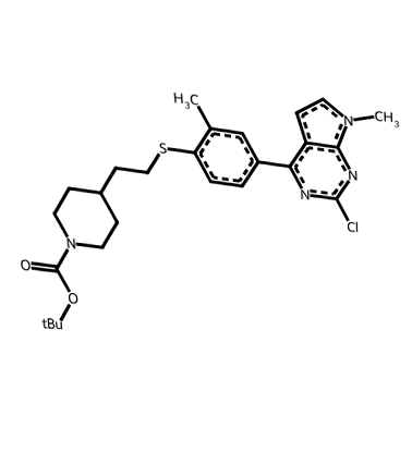 Cc1cc(-c2nc(Cl)nc3c2ccn3C)ccc1SCCC1CCN(C(=O)OC(C)(C)C)CC1